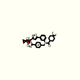 O=C(C1CCC(F)(F)CC1)N(CC12CCC(c3noc(C4(C(F)(F)F)CC4)n3)(CC1)CC2)c1cccc(-c2cc(C3CC3)no2)c1